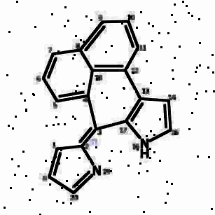 C1=C/C(=c2\c3cccc4cccc(c5cc[nH]c25)c43)N=C1